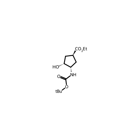 CCOC(=O)[C@@H]1C[C@@H](O)[C@@H](NC(=O)OC(C)(C)C)C1